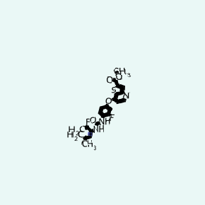 C=C(C)/C=C(/NC(=O)Nc1ccc(Oc2ccnc3cc(C(=O)OC)sc23)cc1F)C(=C)F